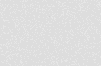 CC(=O)OCc1nccc(Oc2ccc3[nH]ccc3c2)n1